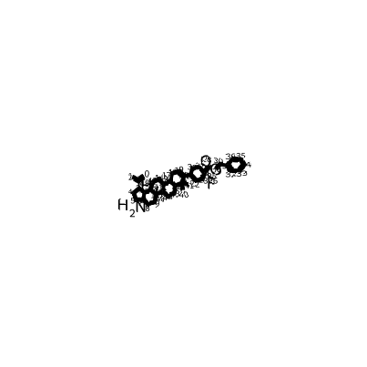 C=C(C)[C@@H]1CC[C@]2(N)CC[C@]3(C)[C@H](CCC4[C@@]5(C)CC=C(C6=CC[C@](CF)(C(=O)OCc7ccccc7)CC6)C(C)(C)C5CC[C@]43C)C12